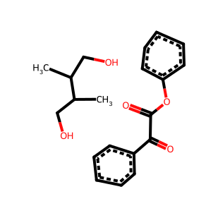 CC(CO)C(C)CO.O=C(Oc1ccccc1)C(=O)c1ccccc1